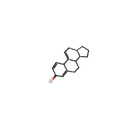 O=C1C=CC2C(=C1)CCC1C2=CCC2CCCC21